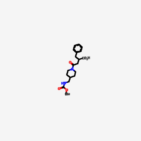 CC(C)(C)OC(=O)NCC1CCN(C(=O)CC(Cc2ccccc2)C(=O)O)CC1